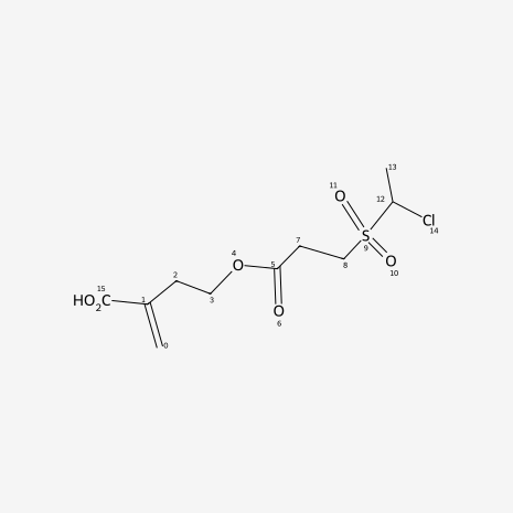 C=C(CCOC(=O)CCS(=O)(=O)C(C)Cl)C(=O)O